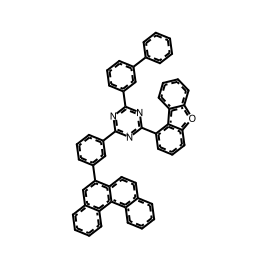 c1ccc(-c2cccc(-c3nc(-c4cccc(-c5cc6ccccc6c6c5ccc5ccccc56)c4)nc(-c4cccc5oc6ccccc6c45)n3)c2)cc1